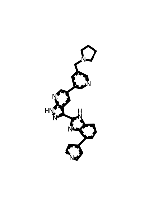 c1cc(-c2ccncc2)c2nc(-c3n[nH]c4ncc(-c5cncc(CN6CCCC6)c5)cc34)[nH]c2c1